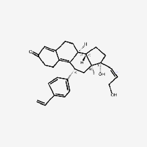 C=Cc1ccc([C@H]2C[C@@]3(C)[C@@H](CC[C@@]3(O)/C=C\CO)[C@@H]3CCC4=CC(=O)CCC4=C32)cc1